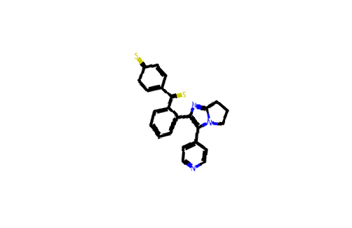 S=C1C=CC(C(=S)c2ccccc2-c2nc3n(c2-c2ccncc2)CCC3)=CC1